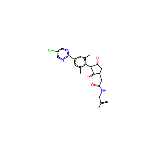 C=C(C)CNC(=O)CC1CC(=O)C(c2c(C)cc(-c3ncc(Cl)cn3)cc2C)C1=O